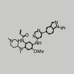 C=CC(=O)Nc1cc(Nc2cc(-c3ccc4c(cnn4C(C)C)c3)ncn2)c(OC)cc1N(C)C1CCN(C)CC1